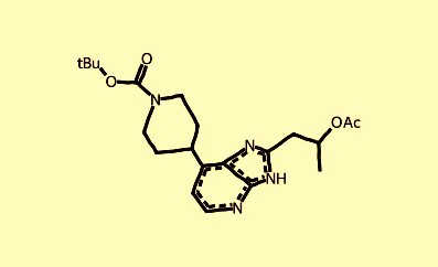 CC(=O)OC(C)Cc1nc2c(C3CCN(C(=O)OC(C)(C)C)CC3)ccnc2[nH]1